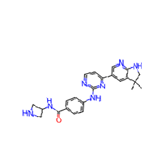 CC1(C)CNc2ncc(-c3ccnc(Nc4ccc(C(=O)NC5CNC5)cc4)n3)cc21